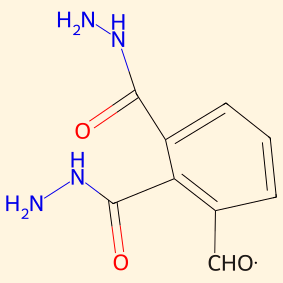 NNC(=O)c1cccc([C]=O)c1C(=O)NN